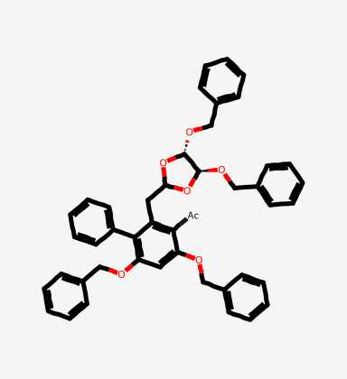 CC(=O)c1c(OCc2ccccc2)cc(OCc2ccccc2)c(-c2ccccc2)c1CC1O[C@H](OCc2ccccc2)[C@@H](OCc2ccccc2)O1